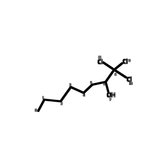 CCCCCCC(O)C(Cl)(Cl)Cl